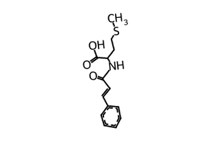 CSCCC(NC(=O)C=Cc1ccccc1)C(=O)O